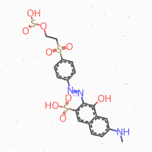 CNc1ccc2cc(S(=O)(=O)O)c(/N=N/c3ccc(S(=O)(=O)CCOS(=O)O)cc3)c(O)c2c1